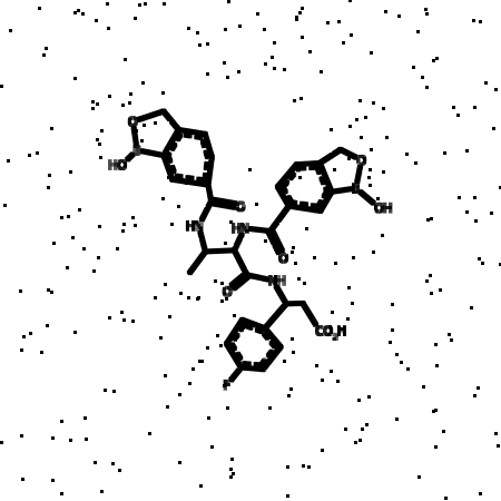 CC(NC(=O)c1ccc2c(c1)B(O)OC2)C(NC(=O)c1ccc2c(c1)B(O)OC2)C(=O)NC(CC(=O)O)c1ccc(F)cc1